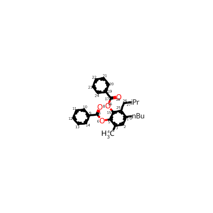 CCCCc1cc(C)c(OC(=O)c2ccccc2)c(OC(=O)c2ccccc2)c1CC(C)C